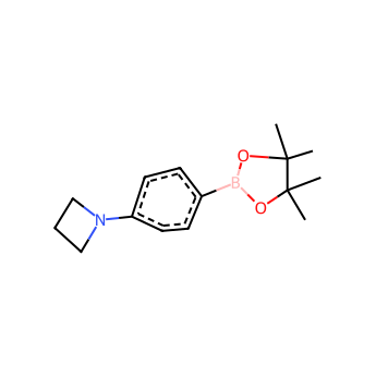 CC1(C)OB(c2ccc(N3CCC3)cc2)OC1(C)C